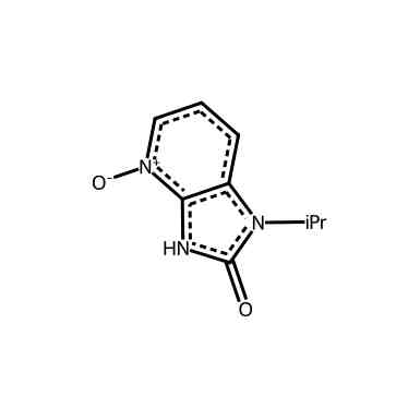 CC(C)n1c(=O)[nH]c2c1ccc[n+]2[O-]